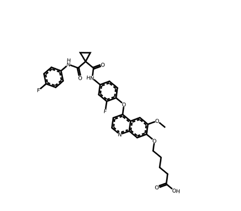 COc1cc2c(Oc3ccc(NC(=O)C4(C(=O)Nc5ccc(F)cc5)CC4)cc3F)ccnc2cc1OCCCCC(=O)O